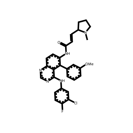 COc1cccc(-c2c(NC(=O)/C=C/C3CCCN3C)ccc3ncnc(Nc4ccc(F)c(Cl)c4)c23)c1